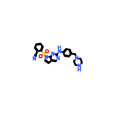 N#Cc1ccccc1S(=O)(=O)n1ccc2cnc(Nc3ccc(CN4CCNCC4)cc3)nc21